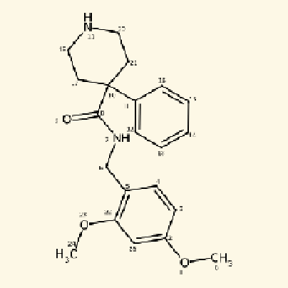 COc1ccc(CNC(=O)C2(c3ccccc3)CCNCC2)c(OC)c1